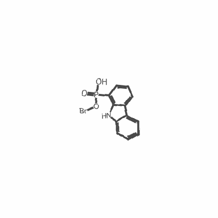 O=P(O)(OBr)c1cccc2c1[nH]c1ccccc12